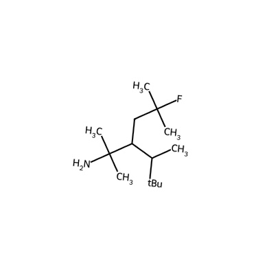 CC(C(CC(C)(C)F)C(C)(C)N)C(C)(C)C